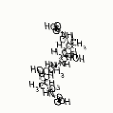 C[C@H](CCC(=O)NCCS(=O)(=O)O)[C@H]1CC[C@@H]2C3[C@@H](CC[C@@]21C)[C@@]1(C)CCC(NCCNC2CC[C@@]4(C)C(C2)C[C@H](O)C2[C@H]5CC[C@H]([C@H](C)CCC(=O)NCCS(=O)(=O)O)[C@@]5(C)CC[C@H]24)CC1C[C@@H]3O